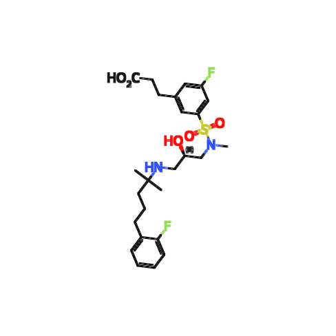 CN(C[C@H](O)CNC(C)(C)CCCc1ccccc1F)S(=O)(=O)c1cc(F)cc(CCC(=O)O)c1